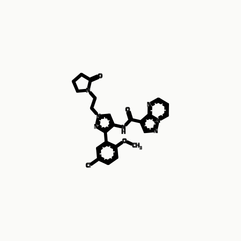 COc1ccc(Cl)cc1-c1nn(CCN2CCCC2=O)cc1NC(=O)c1cnn2cccnc12